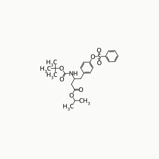 CC(C)OC(=O)CC(Cc1ccc(OS(=O)(=O)c2ccccc2)cc1)NC(=O)OC(C)(C)C